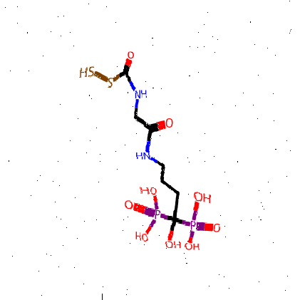 O=C(CNC(=O)SS)NCCCC(O)(P(=O)(O)O)P(=O)(O)O